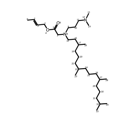 CC=CCOC(=O)CN(CCCN(C)C)CCC(C)CCCC(C)CCCC(C)CCCC(C)C